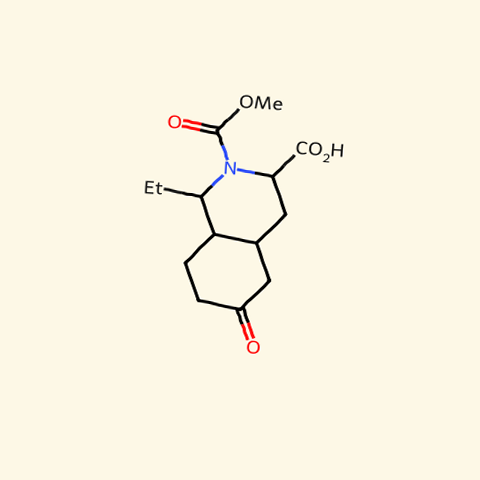 CCC1C2CCC(=O)CC2CC(C(=O)O)N1C(=O)OC